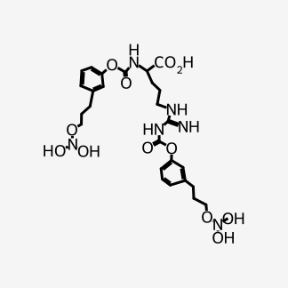 N=C(NCCCC(NC(=O)Oc1cccc(CCCON(O)O)c1)C(=O)O)NC(=O)Oc1cccc(CCCON(O)O)c1